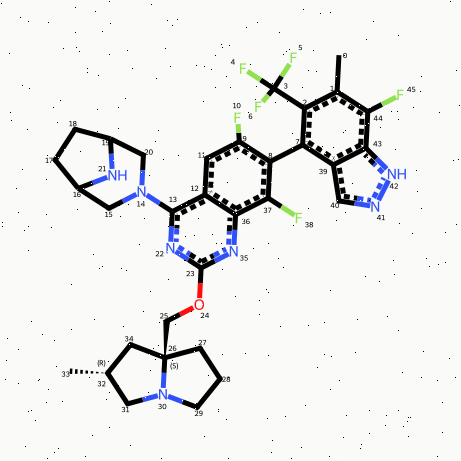 Cc1c(C(F)(F)F)c(-c2c(F)cc3c(N4CC5CCC(C4)N5)nc(OC[C@@]45CCCN4C[C@H](C)C5)nc3c2F)c2cn[nH]c2c1F